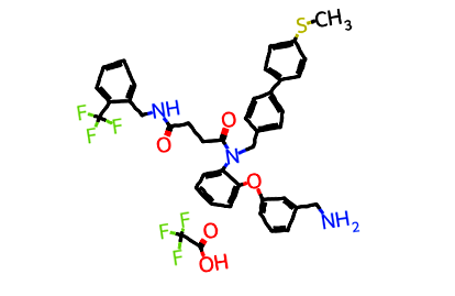 CSc1ccc(-c2ccc(CN(C(=O)CCC(=O)NCc3ccccc3C(F)(F)F)c3ccccc3Oc3cccc(CN)c3)cc2)cc1.O=C(O)C(F)(F)F